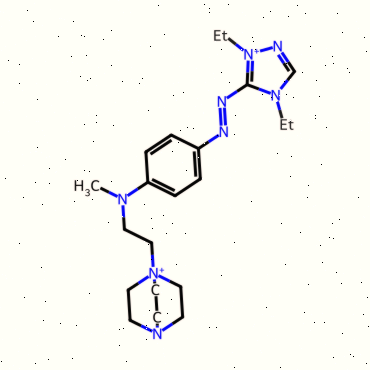 CCn1cn[n+](CC)c1/N=N/c1ccc(N(C)CC[N+]23CCN(CC2)CC3)cc1